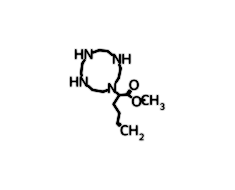 C=CCCC(C(=O)OC)N1CCNCCNCCNCC1